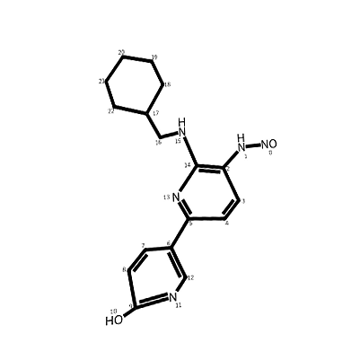 O=NNc1ccc(-c2ccc(O)nc2)nc1NCC1CCCCC1